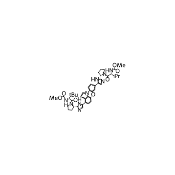 COC(=O)N[C@H](C(=O)N1CCC[C@H]1c1ncc(-c2ccc3c(c2)Oc2ccc(-c4cnc([C@@H]5CCCN5C(=O)[C@@H](NC(=O)OC)C(C)(C)C)[nH]4)c4ccn-3c24)[nH]1)C(C)C